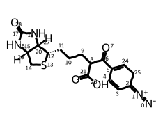 [N-]=[N+]=C1C=CC(C(=O)C(CCC[C@@H]2SC[C@@H]3NC(=O)N[C@@H]32)C(=O)O)=CC1